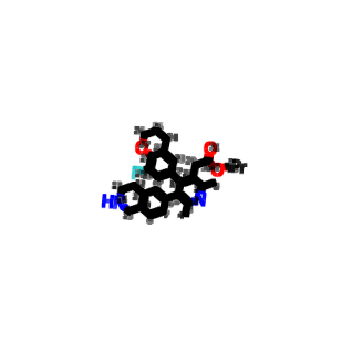 Cc1nc(C)c(-c2ccc3c(c2)CCNC3)c(-c2cc(F)c3c(c2)CCCO3)c1CC(=O)OC(C)C